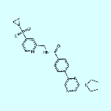 O=C(NCc1cc(S(=O)(=O)C2CC2)ccn1)c1ccc(-c2cncc(N3CCCC3)n2)cc1